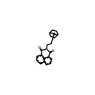 O=C1c2cccc3cccc(c23)C(=O)N1CCN1CC2CCC(CC2)C1